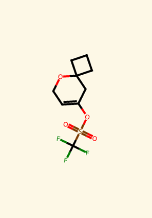 O=S(=O)(OC1=CCOC2(CCC2)C1)C(F)(F)F